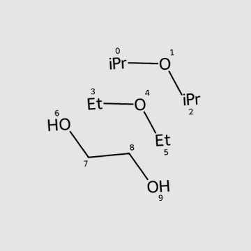 CC(C)OC(C)C.CCOCC.OCCO